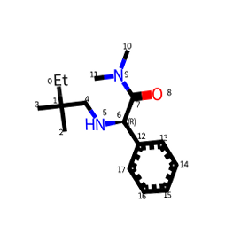 CCC(C)(C)CN[C@@H](C(=O)N(C)C)c1ccccc1